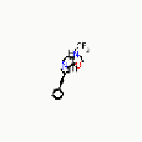 FC(F)(F)CN1CCO[C@H]2c3cc(C#Cc4ccccc4)cn3CC[C@H]21